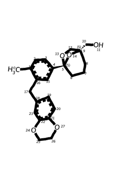 Cc1ccc([C@@]23CCC[C@](CO)(CO2)O3)cc1Cc1ccc2c(c1)OCCO2